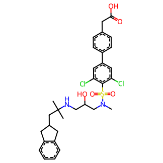 CN(CC(O)CNC(C)(C)CC1Cc2ccccc2C1)S(=O)(=O)c1c(Cl)cc(-c2ccc(CC(=O)O)cc2)cc1Cl